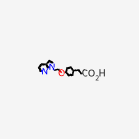 O=C(O)C=Cc1ccc(OCCn2ccc3cccnc32)cc1